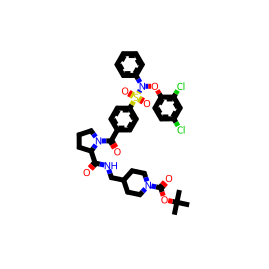 CC(C)(C)OC(=O)N1CCC(CNC(=O)C2CCCN2C(=O)c2ccc(S(=O)(=O)N(Oc3ccc(Cl)cc3Cl)c3ccccc3)cc2)CC1